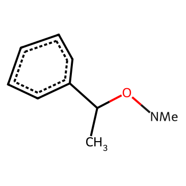 CNOC(C)c1ccccc1